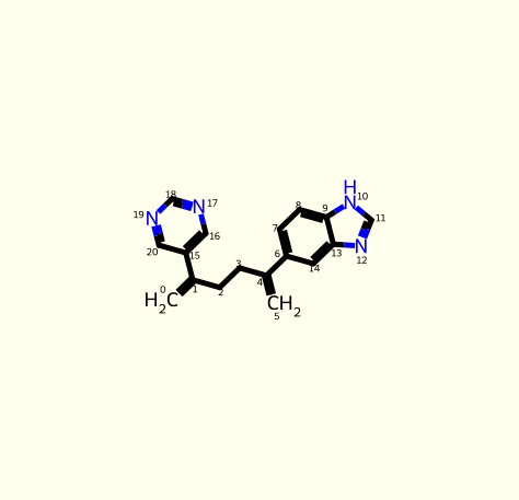 C=C(CCC(=C)c1ccc2[nH]cnc2c1)c1cncnc1